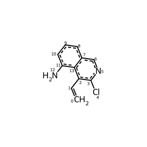 C=Cc1c(Cl)ncc2cccc(N)c12